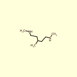 CNCCC(C)CCNC